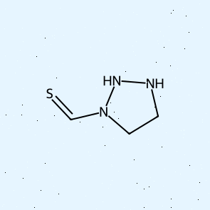 S=CN1CCNN1